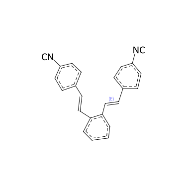 [C-]#[N+]c1ccc(C=Cc2ccccc2/C=C/c2ccc([N+]#[C-])cc2)cc1